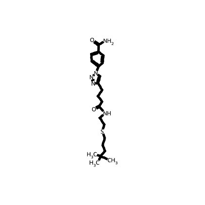 CC(C)(C)CCCSCCNC(=O)CCCc1cn(-c2ccc(C(N)=O)cc2)nn1